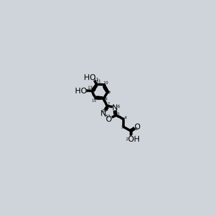 O=C(O)CCc1nc(-c2ccc(O)c(O)c2)no1